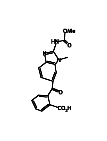 COC(=O)Nc1nc2ccc(C(=O)c3ccccc3C(=O)O)cc2n1C